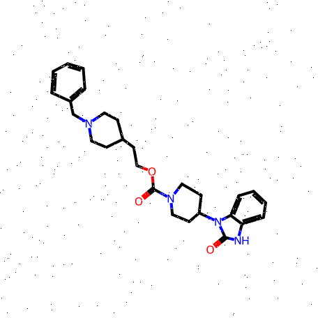 O=C(OCCC1CCN(Cc2ccccc2)CC1)N1CCC(n2c(=O)[nH]c3ccccc32)CC1